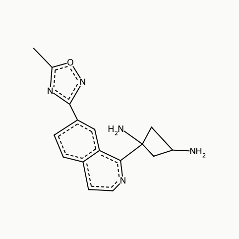 Cc1nc(-c2ccc3ccnc(C4(N)CC(N)C4)c3c2)no1